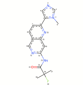 Cn1cncc1-c1ccc2cnc(NC(=O)C(C)(C)F)cc2n1